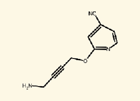 N#Cc1ccnc(OCC#CCN)c1